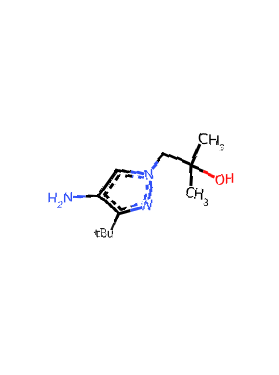 CC(C)(O)Cn1cc(N)c(C(C)(C)C)n1